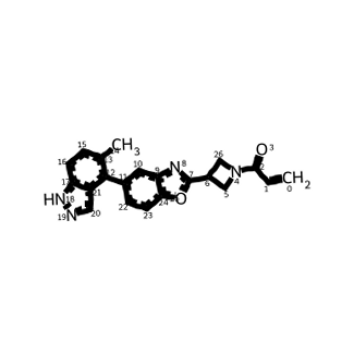 C=CC(=O)N1CC(c2nc3cc(-c4c(C)ccc5[nH]ncc45)ccc3o2)C1